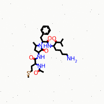 CSCCC(NC(C)=O)C(=O)NC1CC(C)N(C(Cc2ccccc2)C(=O)NC(CCCCN)C(=O)C(C)C)C1=O